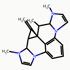 C=C1C2C3N(C)C=CN3c3cccc4c3C12C(C)C1N(C)C=CN41